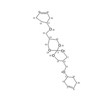 C1=CCC(OCC2COC3(OC2)OCC(COC2CC=CCC2)CO3)CC1